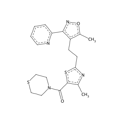 Cc1nc(CCc2c(-c3ccccn3)noc2C)sc1C(=O)N1CCSCC1